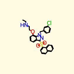 CCNCCOc1cccc2c(S(=O)(=O)c3cccc4ccccc34)nn(Cc3cccc(Cl)c3)c12